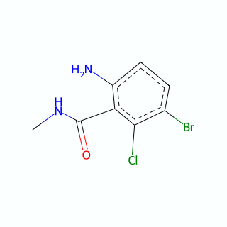 CNC(=O)c1c(N)ccc(Br)c1Cl